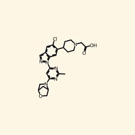 Cc1nc(N2CC3CC2CO3)cc(-n2ncc3cc(Cl)c(C4CCN(CC(=O)O)CC4)cc32)n1